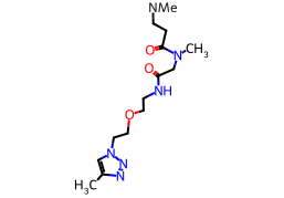 CNCCC(=O)N(C)CC(=O)NCCOCCn1cc(C)nn1